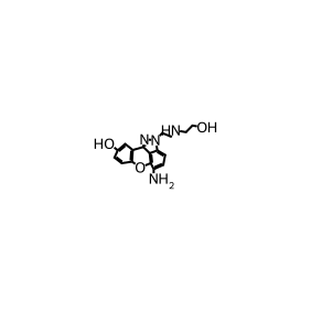 Nc1ccc2c3c(nn2CCNCCO)-c2cc(O)ccc2Oc13